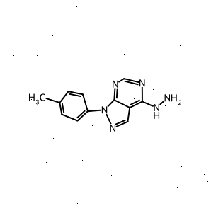 Cc1ccc(-n2ncc3c(NN)ncnc32)cc1